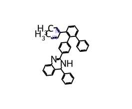 C/C=C\C(=C/C)c1cccc(-c2ccccc2)c1-c1ccc(C2=Nc3ccccc3C(c3ccccc3)N2)cc1